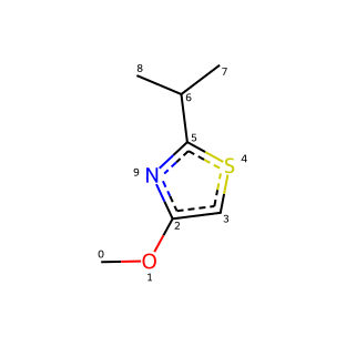 COc1csc(C(C)C)n1